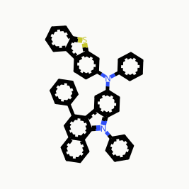 c1ccc(-c2cc3ccccc3c3c2c2cc(N(c4ccccc4)c4ccc5c(c4)sc4ccccc45)ccc2n3-c2ccccc2)cc1